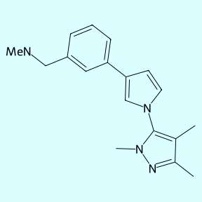 CNCc1cccc(-c2ccn(-c3c(C)c(C)nn3C)c2)c1